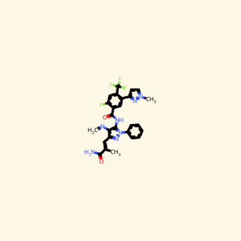 C=Nc1c(/C=C(\C)C(N)=O)nn(-c2ccccc2)c1NC(=O)c1cc(-c2ccn(C)n2)c(C(F)(F)F)cc1F